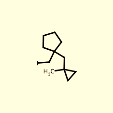 CC1(CC2(CI)CCCC2)CC1